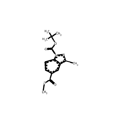 COC(=O)c1ccc2c(c1)c(C)nn2C(=O)OC(C)(C)C